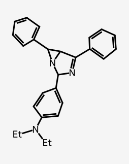 CCN(CC)c1ccc(C2N=C(c3ccccc3)C3C(c4ccccc4)N23)cc1